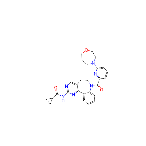 O=C(Nc1ncc2c(n1)-c1ccccc1N(C(=O)c1cccc(N3CCCOCC3)n1)CC2)C1CC1